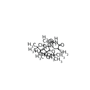 C[SiH](C)[C@@]1(N2CC(=[SiH2])C(=O)NC2=O)O[C@H](C(O)C(C)(C)C)[C@](O)(C(C)(C)C)[C@H]1OC(C)(C)C